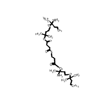 C=CCC(C)(C)OCCC(C)(N)OC(=O)CCSC(=O)CCC(=O)OC(C)(C)CCOC(C)(N)CC=C